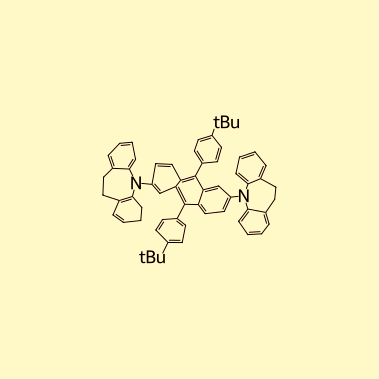 CC(C)(C)c1ccc(-c2c3ccc(N4c5ccccc5CCc5ccccc54)cc3c(-c3ccc(C(C)(C)C)cc3)c3ccc(N4C5=C(C=CCC5)CCc5ccccc54)cc23)cc1